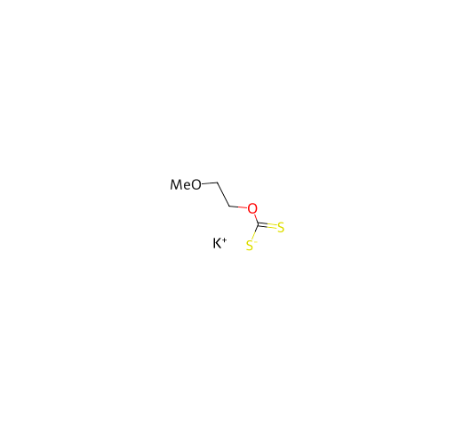 COCCOC(=S)[S-].[K+]